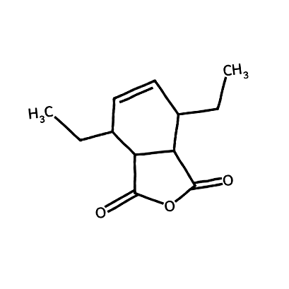 CCC1C=CC(CC)C2C(=O)OC(=O)C12